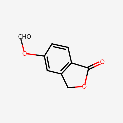 O=COc1ccc2c(c1)COC2=O